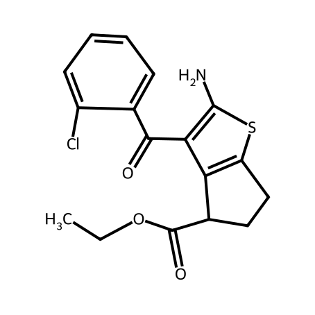 CCOC(=O)C1CCc2sc(N)c(C(=O)c3ccccc3Cl)c21